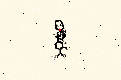 CC(=O)c1ccc(N2C3CCC2CC(NC(=O)c2ccc(C(N)=O)c(Br)c2)C3)nc1